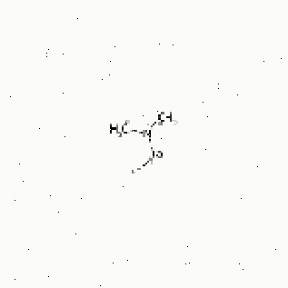 C[N](C)[Ta][F]